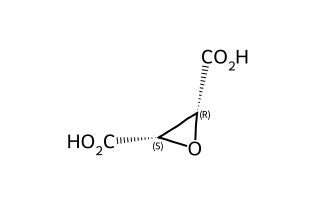 O=C(O)[C@H]1O[C@H]1C(=O)O